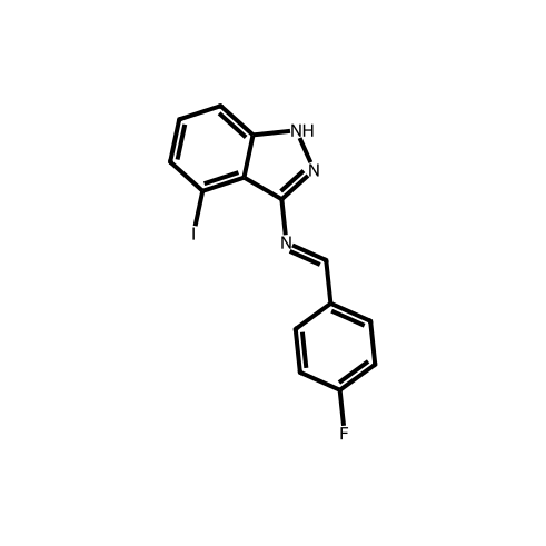 Fc1ccc(C=Nc2n[nH]c3cccc(I)c23)cc1